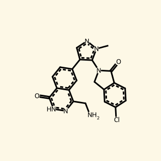 Cn1ncc(-c2ccc3c(=O)[nH]nc(CN)c3c2)c1N1Cc2cc(Cl)ccc2C1=O